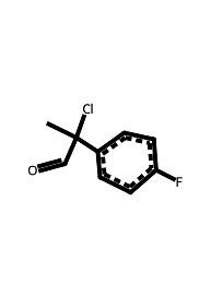 CC(Cl)(C=O)c1ccc(F)cc1